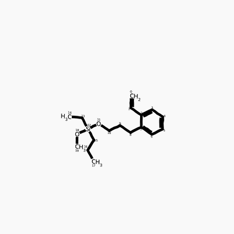 C=Cc1ccccc1CCCO[Si](CC)(CCC)OC